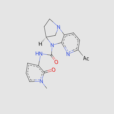 CC(=O)c1ccc2c(n1)N(C(=O)Nc1cccn(C)c1=O)[C@H]1CCN2C1